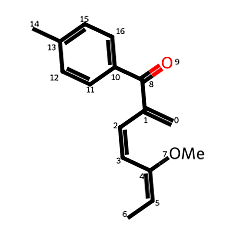 C=C(/C=C\C(=C/C)OC)C(=O)c1ccc(C)cc1